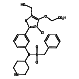 O=C(O)COc1c(CO)sc(-c2cccc(N(C3CCNCC3)S(=O)(=O)Cc3ccccc3)c2)c1Cl